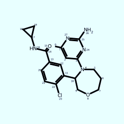 Cc1cc(N2CCCOCC2c2cc(C(=O)NC3CC3)ccc2Cl)nc(N)n1